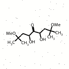 COC(C)(C)CC(O)C(=O)C(O)CC(C)(C)OC